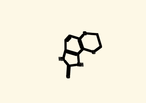 O=c1[nH]c2ccc3c(c2[nH]1)OCCO3